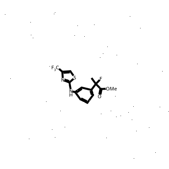 COC(=O)C(C)(F)c1cccc(Nc2nc(C(F)(F)F)cs2)c1